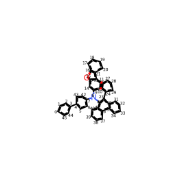 c1ccc(-c2ccc(N(c3ccc4c(c3)oc3ccccc34)c3c(-c4ccccc4)c4ccccc4c4ccccc34)cc2)cc1